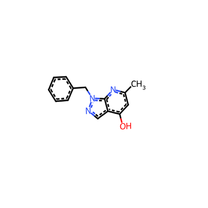 Cc1cc(O)c2cnn(Cc3ccccc3)c2n1